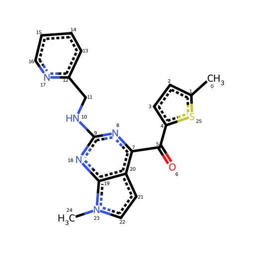 Cc1ccc(C(=O)c2nc(NCc3ccccn3)nc3c2ccn3C)s1